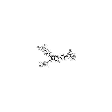 CC1(C)OB(c2ccc(-c3nc4nc(O[C@@H]5CO[C@H]6[C@@H]5OC[C@H]6O[Si](C)(C)C(C)(C)C)n(COCC[Si](C)(C)C)c4cc3Cl)cc2)OC1(C)C